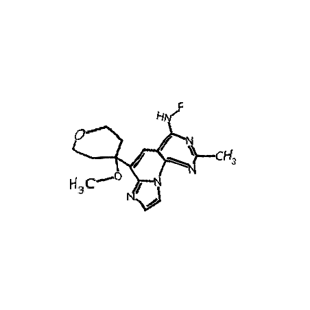 COC1(c2cc3c(NF)nc(C)nc3n3ccnc23)CCOCC1